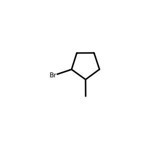 CC1CCC[C]1Br